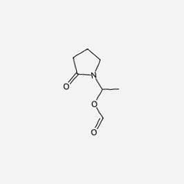 CC(OC=O)N1CCCC1=O